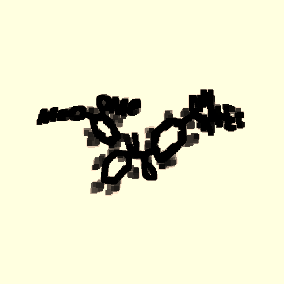 CCn1nnc(-c2ccc(C(=O)N[C@@H]3CCCC[C@@H]3c3ccc(OC)c(OC)c3)cc2)n1